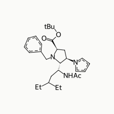 CCC(CC)CC(NC(C)=O)[C@H]1[C@H](n2cccc2)C[C@H](C(=O)OC(C)(C)C)N1Cc1ccccc1